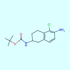 CC(C)(C)OC(=O)NC1CCc2c(ccc(N)c2Cl)C1